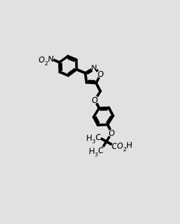 CC(C)(Oc1ccc(OCc2cc(-c3ccc([N+](=O)[O-])cc3)no2)cc1)C(=O)O